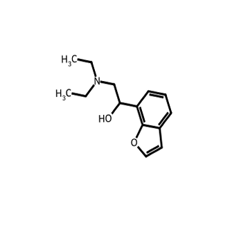 CCN(CC)CC(O)c1cccc2ccoc12